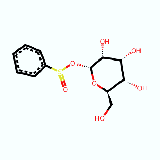 O=S(O[C@H]1O[C@H](CO)[C@@H](O)[C@@H](O)[C@H]1O)c1ccccc1